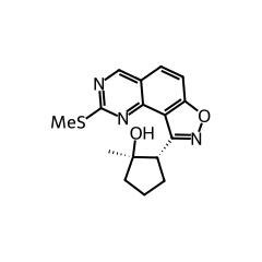 CSc1ncc2ccc3onc([C@@H]4CCC[C@@]4(C)O)c3c2n1